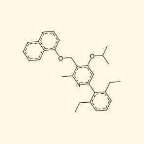 CCc1cccc(CC)c1-c1cc(OC(C)C)c(COc2cccc3ccccc23)c(C)n1